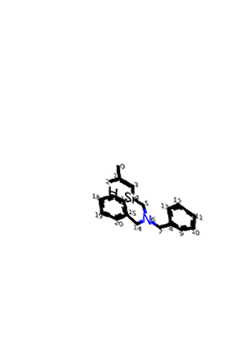 CC(C)=C[SiH2]CN(Cc1ccccc1)Cc1ccccc1